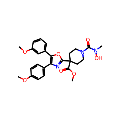 COC(=O)C1(c2nc(-c3ccc(OC)cc3)c(-c3cccc(OC)c3)o2)CCN(C(=O)N(C)O)CC1